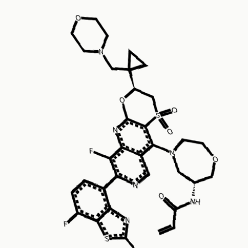 C=CC(=O)N[C@H]1COCCN(c2c3c(nc4c(F)c(-c5ccc(F)c6sc(N)nc56)ncc24)O[C@@H](C2(CN4CCOCC4)CC2)CS3(=O)=O)C1